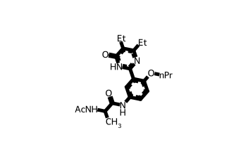 CCCOc1ccc(NC(=O)C(C)NC(C)=O)cc1-c1nc(CC)c(CC)c(=O)[nH]1